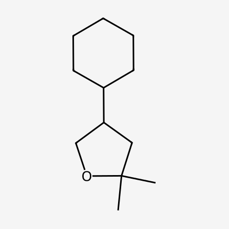 CC1(C)CC(C2CCCCC2)CO1